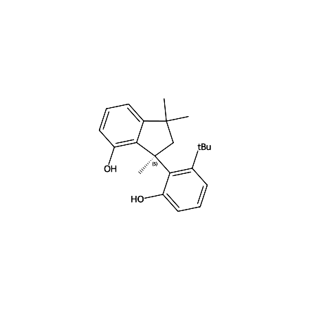 CC(C)(C)c1cccc(O)c1[C@]1(C)CC(C)(C)c2cccc(O)c21